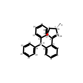 C[C@H]1COC(c2ccccc2P(c2ccccc2)c2ccccc2)=N1